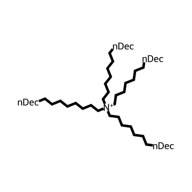 CCCCCCCCCCCCCCCCCC[N+](CCCCCCCCCCCCCCCCC)(CCCCCCCCCCCCCCCCC)CCCCCCCCCCCCCCCCC